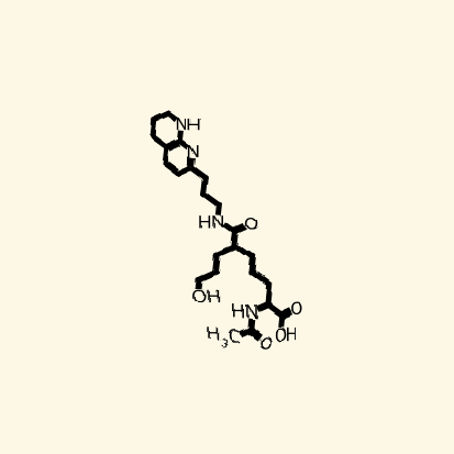 CC(=O)NC(CCCC(CCCO)C(=O)NCCCc1ccc2c(n1)NCCC2)C(=O)O